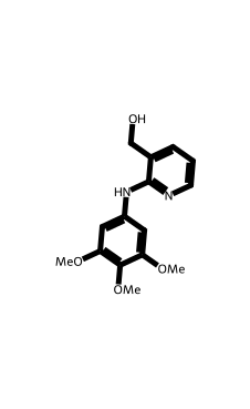 COc1cc(Nc2ncccc2CO)cc(OC)c1OC